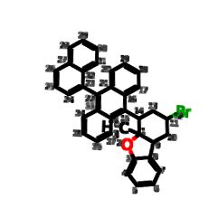 CC12Oc3ccccc3C1CC(Br)CC2c1c2ccccc2c(-c2cccc3ccccc23)c2ccccc12